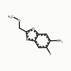 COCc1nc2cc(F)c(N)cc2o1